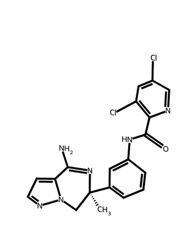 C[C@]1(c2cccc(NC(=O)c3ncc(Cl)cc3Cl)c2)Cn2nccc2C(N)=N1